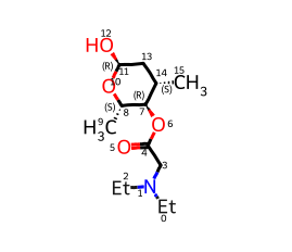 CCN(CC)CC(=O)O[C@H]1[C@H](C)O[C@@H](O)C[C@@H]1C